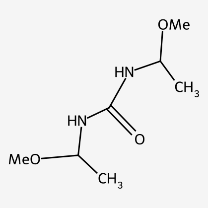 COC(C)NC(=O)NC(C)OC